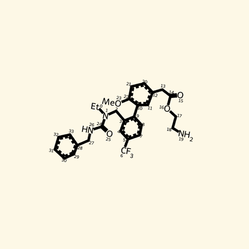 CCN(Cc1cc(C(F)(F)F)ccc1-c1cc(CC(=O)OCCN)ccc1OC)C(=O)NCc1ccccc1